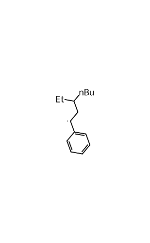 CCCCC(CC)C[CH]c1ccccc1